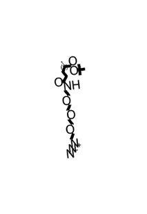 C[C@@H](CCC(=O)NCCOCCOCCOCCN=[N+]=[N-])C(=O)OC(C)(C)C